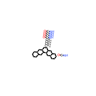 C.C.C.C.N=C=O.N=C=O.N=C=O.N=C=O.N=C=O.c1ccc2cc3c(ccc4cc5ccccc5cc43)cc2c1